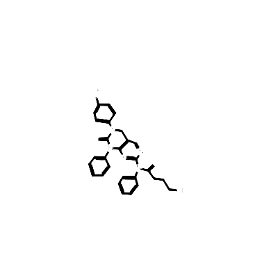 CCCCC(=O)N(c1ccccc1)c1ncc2c(n1)N(c1ccccc1)C(=O)N(c1ccc(OC)cc1)C2